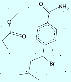 CC(C)CC(Br)c1ccc(C(N)=O)cc1.CCC(=O)OC